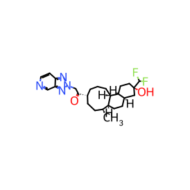 C[C@H]1CC[C@H](C(=O)Cn2nc3ccncc3n2)CCC[C@H]2[C@H]1CC[C@@H]1C[C@@](O)(C(F)F)CC[C@@H]12